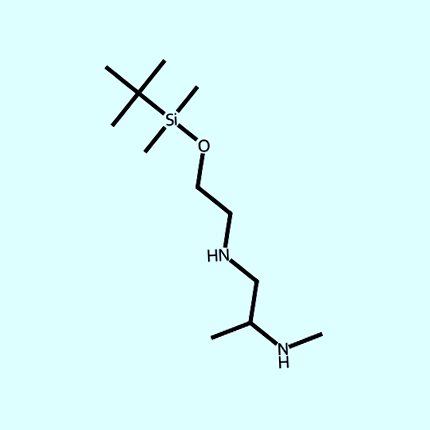 CNC(C)CNCCO[Si](C)(C)C(C)(C)C